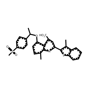 Cc1c(-c2cc(C(=O)O)c3c(OC(C)c4ccc(S(C)(=O)=O)cc4)ccc(C)c3n2)sc2ccccc12